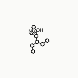 OC1c2ccccc2-c2nccc3c4cc(-c5cc(-c6cccc(-c7ccccc7)c6)cc(-c6cccc(-c7ccccc7)c6)c5)ccc4n1c23